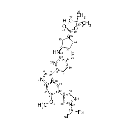 COc1cc2ncc(-c3cccc(N[C@H]4CN(C(=O)OC(C)(C)C)C[C@@H]4F)n3)n2cc1-c1cnn(C(F)F)c1